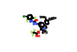 COc1ccc([C@@]23CC[C@@H](NC(=O)Nc4c(F)ccc(Cl)c4F)C[C@@H]2N(C)CC3)cc1OC.O=C(O)C(F)(F)F